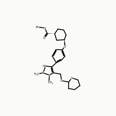 CC(C)OC(=O)[C@@H]1CCC[C@@H](Oc2ccc(C3=C(COC4CCCCO4)N(C)N(C)N3)cc2)C1